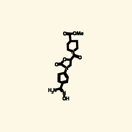 COC(=O)C1CCN(C(=O)C2CN(c3ccc(C(N)=NO)cc3)C(=O)O2)CC1